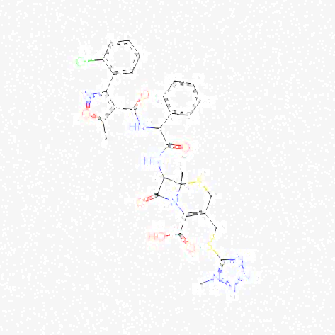 Cc1onc(-c2ccccc2Cl)c1C(=O)NC(C(=O)NC1C(=O)N2C(C(=O)O)=C(CSc3nnnn3C)CS[C@@H]12)c1ccccc1